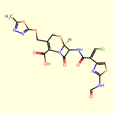 Cc1nnc(SCC2=C(C(=O)O)N3C(=O)C(NC(=O)C(=CCl)c4csc(NC=O)n4)[C@@H]3SC2)s1